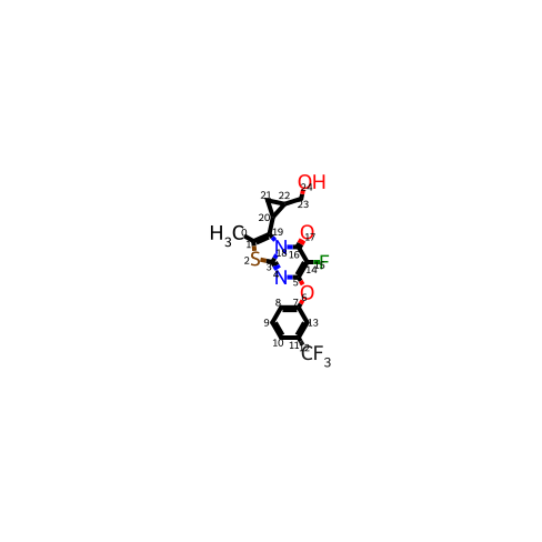 Cc1sc2nc(Oc3cccc(C(F)(F)F)c3)c(F)c(=O)n2c1C1CC1CO